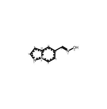 ON=Cc1ccn2nccc2c1